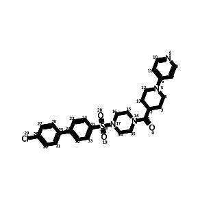 O=C(C1CCN(c2ccncc2)CC1)N1CCN(S(=O)(=O)c2ccc(-c3ccc(Cl)cc3)cc2)CC1